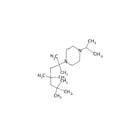 CC(C)N1CCN(C(C)(C)CC(C)(C)CC(C)(C)C)CC1